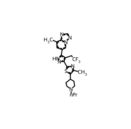 CCCN1CCC(c2sc(-c3n[nH]c(-c4cc(C)c5ncnn5c4)c3CC(F)(F)F)nc2C)CC1